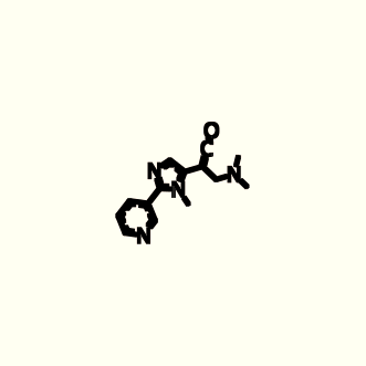 CN(C)CC(=C=O)c1cnc(-c2cccnc2)n1C